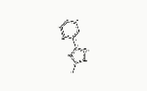 Cc1coc(-c2ccccc2)c1